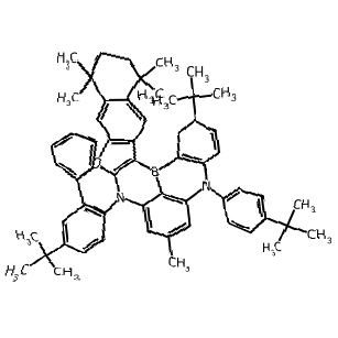 Cc1cc2c3c(c1)N(c1ccc(C(C)(C)C)cc1-c1ccccc1)c1oc4cc5c(cc4c1B3C1=C(C=CC(C(C)(C)C)C1)N2c1ccc(C(C)(C)C)cc1)C(C)(C)CCC5(C)C